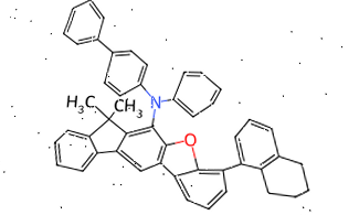 CC1(C)c2ccccc2-c2cc3c(oc4c(-c5cccc6c5CCCC6)cccc43)c(N(c3ccccc3)c3ccc(-c4ccccc4)cc3)c21